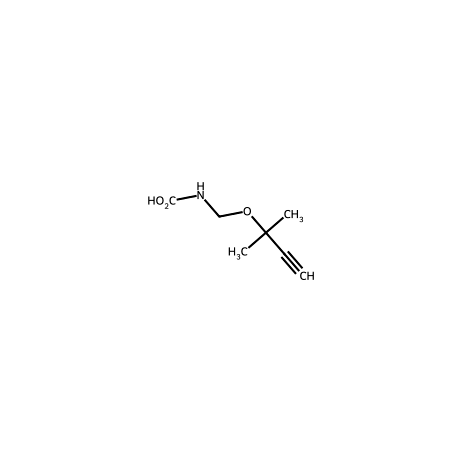 C#CC(C)(C)OCNC(=O)O